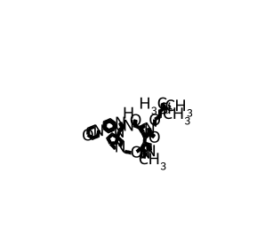 Cn1ncc2c1OCCN1CC3CCC(C3)(C1)n1c(nc3ccc(N4CCOCC4)cc31)NC(=O)c1cc-2c(=O)n(COCC[Si](C)(C)C)c1